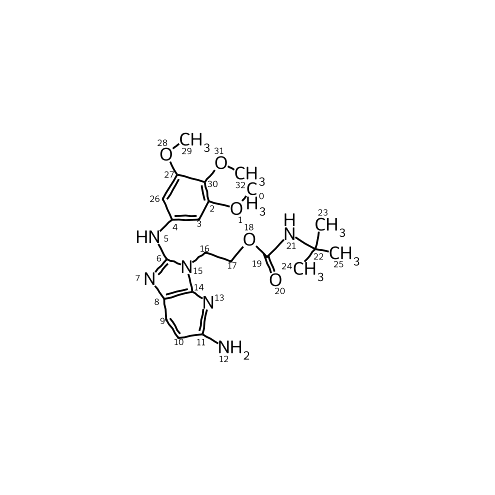 COc1cc(Nc2nc3ccc(N)nc3n2CCOC(=O)NC(C)(C)C)cc(OC)c1OC